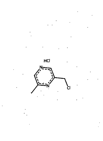 Cc1cncc(CCl)n1.Cl